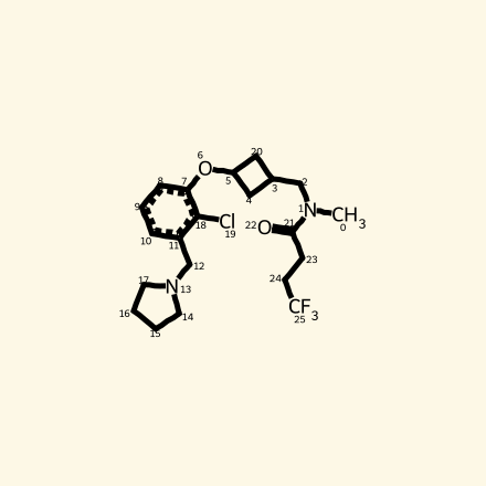 CN(CC1CC(Oc2cccc(CN3CCCC3)c2Cl)C1)C(=O)CCC(F)(F)F